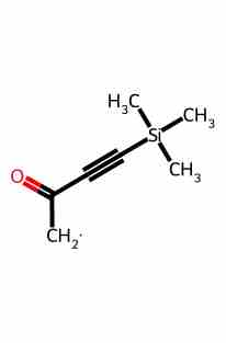 [CH2]C(=O)C#C[Si](C)(C)C